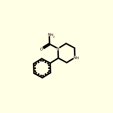 NC(=O)N1CCNCC1c1ccccc1